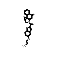 CCCOc1ccc2[nH]c(C(=O)N3CC4CC45C3=CC(=O)c3ccccc35)cc2c1